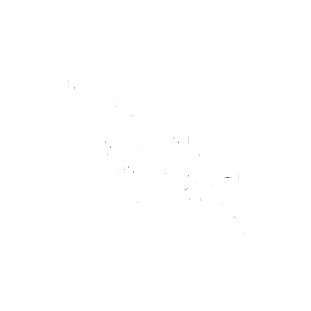 N#Cc1ccc(C(=O)Nc2ccc(F)c([C@]34CC[C@H](F)C[C@H]3CSC(N)=N4)c2)nc1